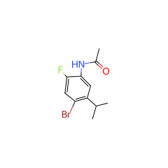 CC(=O)Nc1cc(C(C)C)c(Br)cc1F